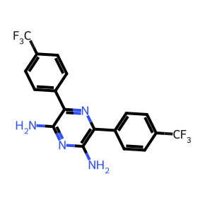 Nc1nc(N)c(-c2ccc(C(F)(F)F)cc2)nc1-c1ccc(C(F)(F)F)cc1